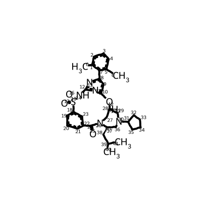 Cc1cccc(C)c1-c1cc2nc(n1)NS(=O)(=O)c1cccc(c1)C(=O)N1C[C@@H](CN(C3CCCC3)C[C@H]1CC(C)C)O2